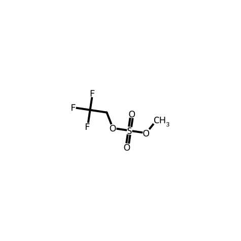 COS(=O)(=O)OCC(F)(F)F